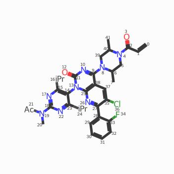 C=CC(=O)N1CC(C)N(c2nc(=O)n(-c3c(C(C)C)nc(N(C)C(C)=O)nc3C(C)C)c3nc(-c4ccccc4F)c(Cl)cc23)CC1C